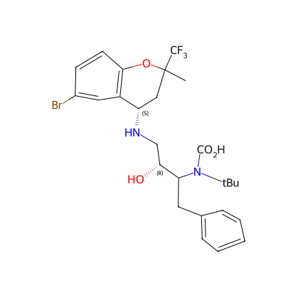 CC(C)(C)N(C(=O)O)C(Cc1ccccc1)[C@H](O)CN[C@H]1CC(C)(C(F)(F)F)Oc2ccc(Br)cc21